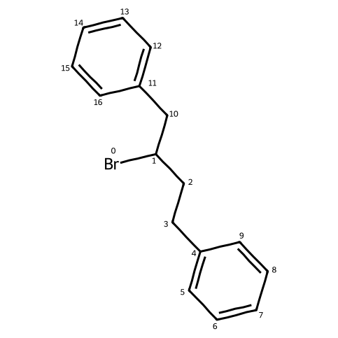 BrC(CCc1ccccc1)Cc1ccccc1